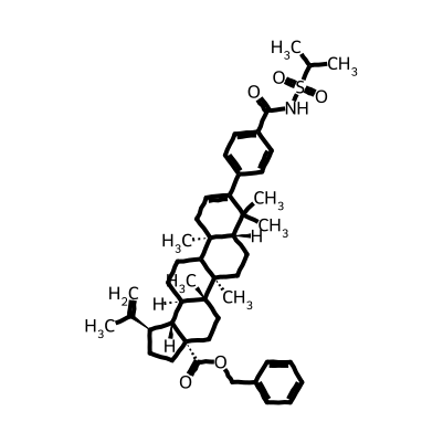 C=C(C)[C@@H]1CC[C@]2(C(=O)OCc3ccccc3)CC[C@]3(C)[C@H](CCC4[C@@]5(C)CC=C(c6ccc(C(=O)NS(=O)(=O)C(C)C)cc6)C(C)(C)[C@@H]5CC[C@]43C)[C@@H]12